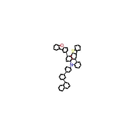 c1cc(-c2ccc(N(c3ccc(-c4ccc5oc6ccccc6c5c4)cc3)c3ccccc3-c3ccc4sc5ccccc5c4c3)cc2)cc(-c2cccc3ccccc23)c1